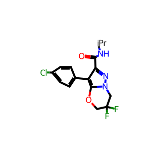 CC(C)NC(=O)c1nn2c(c1-c1ccc(Cl)cc1)OCC(F)(F)C2